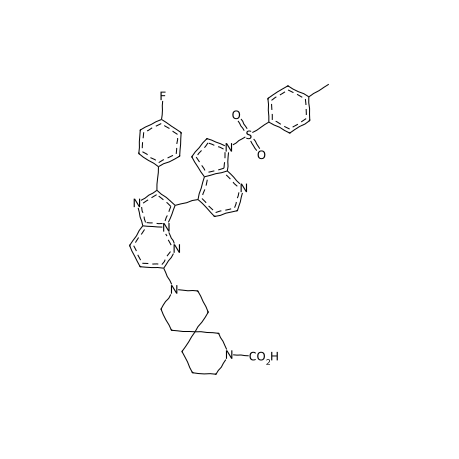 Cc1ccc(S(=O)(=O)n2ccc3c(-c4c(-c5ccc(F)cc5)nc5ccc(N6CCC7(CCCN(C(=O)O)C7)CC6)nn45)ccnc32)cc1